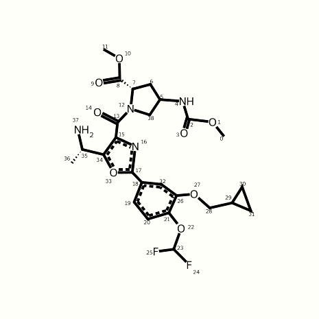 COC(=O)NC1C[C@@H](C(=O)OC)N(C(=O)c2nc(-c3ccc(OC(F)F)c(OCC4CC4)c3)oc2[C@H](C)N)C1